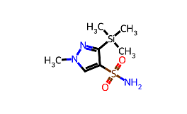 Cn1cc(S(N)(=O)=O)c([Si](C)(C)C)n1